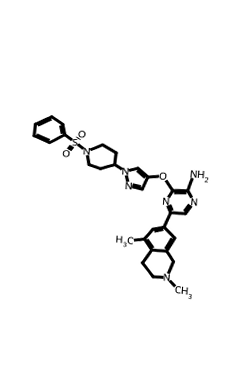 Cc1cc(-c2cnc(N)c(Oc3cnn(C4CCN(S(=O)(=O)c5ccccc5)CC4)c3)n2)cc2c1CCN(C)C2